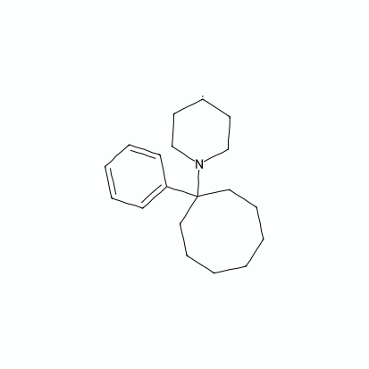 [CH]1CCN(C2(c3ccccc3)CCCCCCC2)CC1